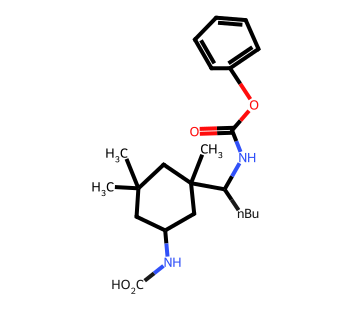 CCCCC(NC(=O)Oc1ccccc1)C1(C)CC(NC(=O)O)CC(C)(C)C1